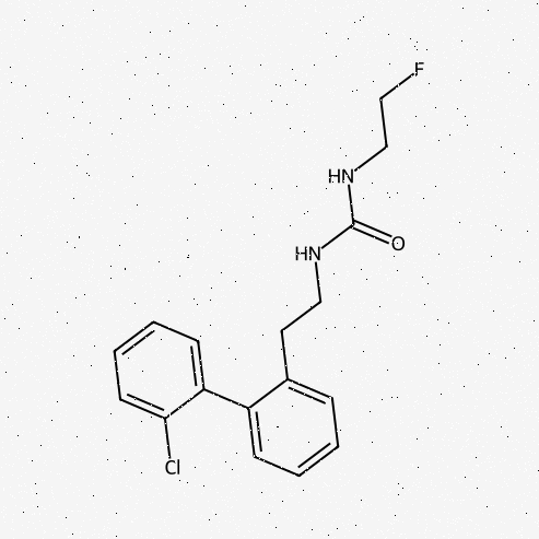 O=C(NCCF)NCCc1ccccc1-c1ccccc1Cl